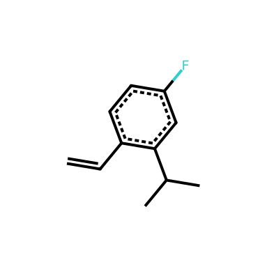 C=Cc1ccc(F)cc1C(C)C